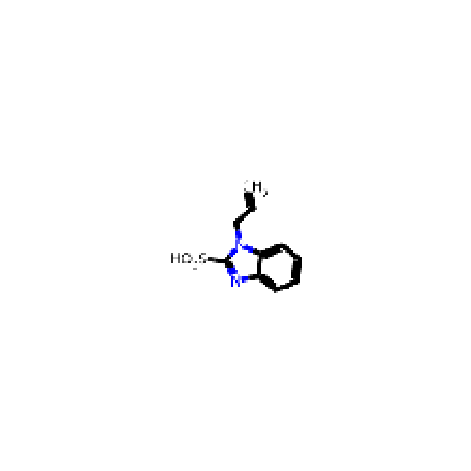 C=CCn1c(S(=O)(=O)O)nc2ccccc21